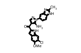 COc1cc2cc(C(=O)c3cnn(-c4ccc5[nH]c(C)nc5c4)c3N)[nH]c2cc1Cl